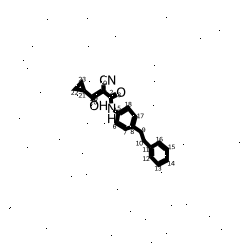 N#CC(C(=O)Nc1ccc(CCc2ccccc2)cc1)=C(O)C1CC1